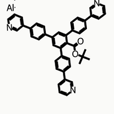 CC(C)(C)OC(=O)c1c(-c2ccc(-c3cccnc3)cc2)cc(-c2ccc(-c3cccnc3)cc2)cc1-c1ccc(-c2cccnc2)cc1.[Al]